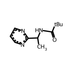 CC(NC(=O)C(C)(C)C)c1ncccn1